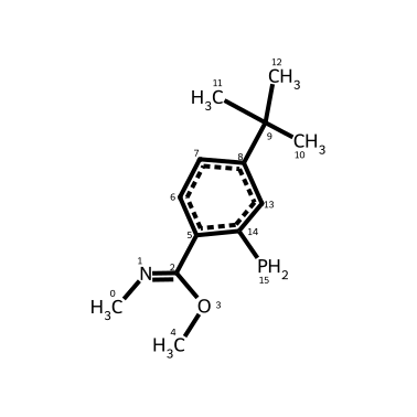 C/N=C(\OC)c1ccc(C(C)(C)C)cc1P